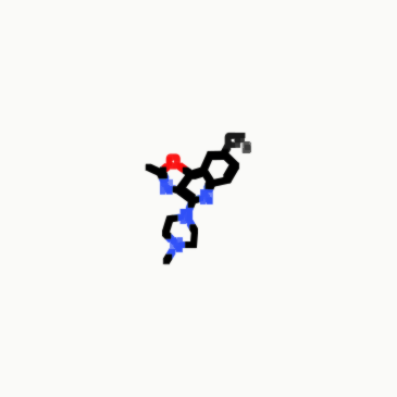 Cc1nc2c(N3CCN(C)CC3)nc3ccc(C(F)(F)F)cc3c2o1